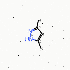 [CH]c1cc(C)n[nH]1